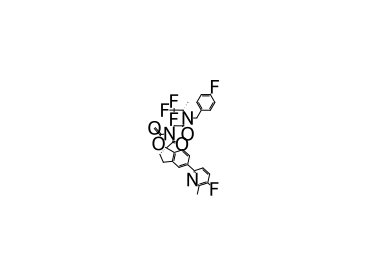 Cc1nc(-c2ccc3c(c2)CC[C@@]32OC(=O)N(CC(=O)N(Cc3ccc(F)cc3)[C@@H](C)C(F)(F)F)C2=O)ccc1F